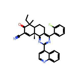 CCC1(C)C(=O)C(C#N)=C[C@@]2(C)c3nc(-c4ccnc5ccccc45)nc(-c4ccccc4F)c3CCC12